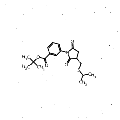 CC(C)SCC1CC(=O)N(c2cccc(C(=O)OC(C)(C)C)c2)C1=O